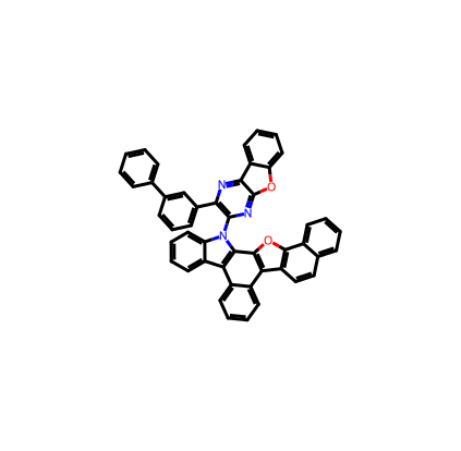 c1ccc(-c2cccc(-c3nc4c(nc3-n3c5ccccc5c5c6ccccc6c6c7ccc8ccccc8c7oc6c53)oc3ccccc34)c2)cc1